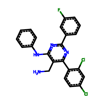 NCc1c(Nc2ccccc2)nc(-c2cccc(F)c2)nc1-c1ccc(Cl)cc1Cl